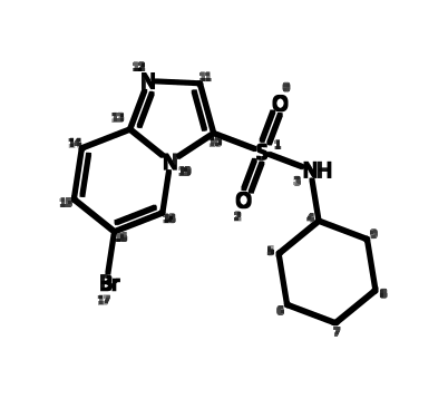 O=S(=O)(NC1CCCCC1)c1cnc2ccc(Br)cn12